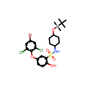 CC(C)(C)[Si](C)(C)OC1CCC(NS(=O)(=O)c2cc(Oc3c(Cl)cc(Br)cc3Cl)ccc2O)CC1